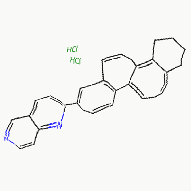 Cl.Cl.c1cc2nc(-c3ccc4c(ccc5c6c(ccc54)CCCC6)c3)ccc2cn1